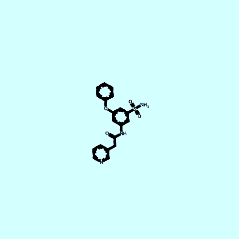 NS(=O)(=O)c1cc(NC(=O)Cc2cccnc2)cc(Oc2ccccc2)c1